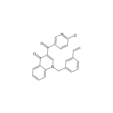 C=Cc1cccc(Cn2cc(C(=O)c3ccc(Cl)nc3)c(=O)c3ccccc32)c1